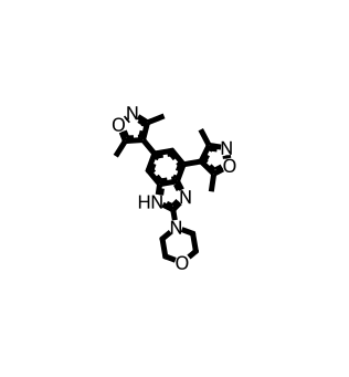 Cc1noc(C)c1-c1cc(-c2c(C)noc2C)c2nc(N3CCOCC3)[nH]c2c1